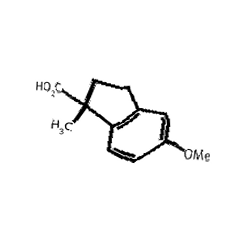 COc1ccc2c(c1)CCC2(C)C(=O)O